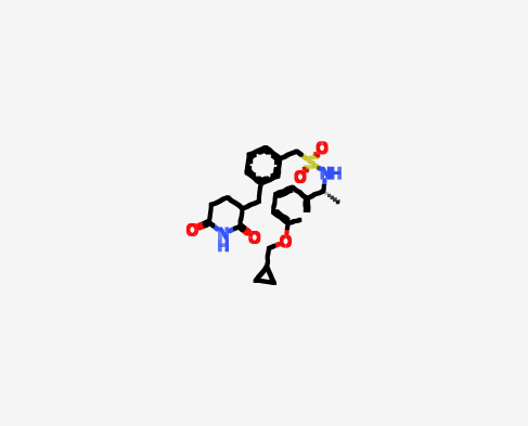 C=C(/C=C\C=C(/C)OCC1CC1)[C@@H](C)NS(=O)(=O)Cc1cccc(CC2CCC(=O)NC2=O)c1